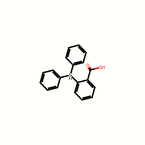 O=C(O)c1ccccc1[SiH](c1ccccc1)c1ccccc1